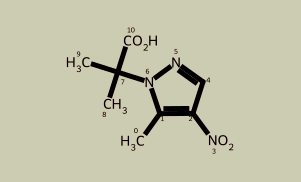 Cc1c([N+](=O)[O-])cnn1C(C)(C)C(=O)O